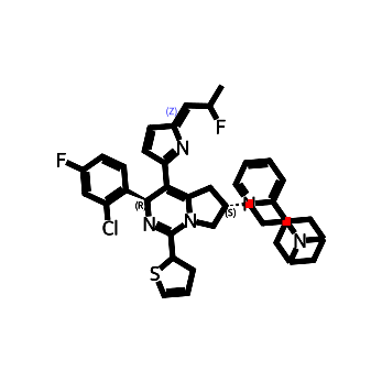 CC(F)/C=C1/C=CC(C2=C3C[C@H](CCCN4C5CC(c6ccccn6)CC4C5)CN3C(C3CC=CS3)=N[C@H]2c2ccc(F)cc2Cl)=N1